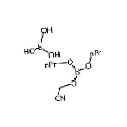 CCCOB(OCC#N)OCCC.OB(O)O